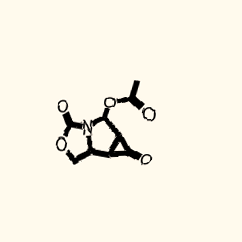 CC(=O)OC1C2C(=O)C2C2COC(=O)N21